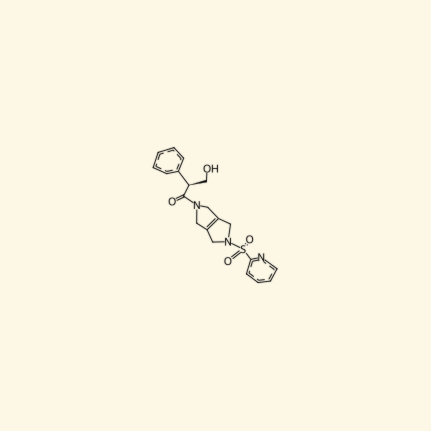 O=C([C@H](CO)c1ccccc1)N1CC2=C(C1)CN(S(=O)(=O)c1ccccn1)C2